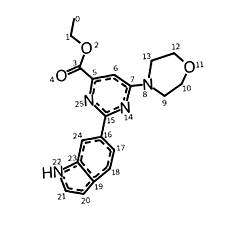 CCOC(=O)c1cc(N2CCOCC2)nc(-c2ccc3cc[nH]c3c2)n1